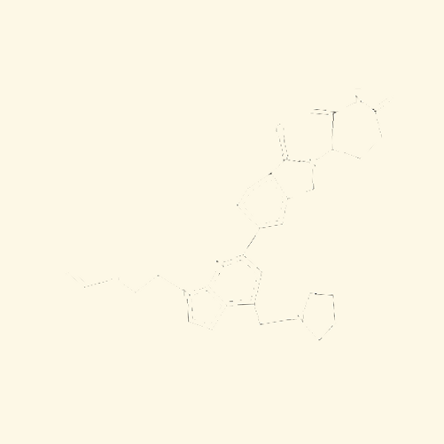 O=COCCn1ccc2c(CN3CCCC3)cc(-c3ccc4c(c3)CN(C3CCC(=O)NC3=O)C4=O)nc21